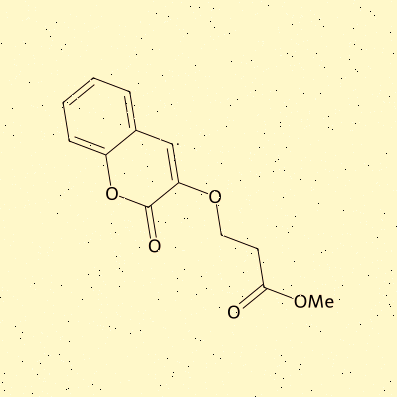 COC(=O)CCOc1[c]c2ccccc2oc1=O